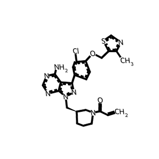 C=CC(=O)N1CCC[C@@H](Cn2nc(-c3ccc(OCc4scnc4C)c(Cl)c3)c3c(N)ncnc32)C1